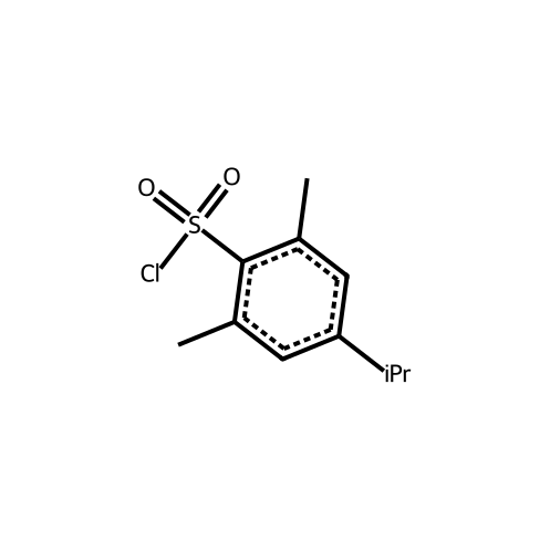 Cc1cc(C(C)C)cc(C)c1S(=O)(=O)Cl